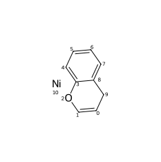 C1=COc2ccccc2C1.[Ni]